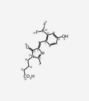 CC1=NC(=Cc2ccc(O)cc2B(F)F)C(=O)N1CCCC(=O)O